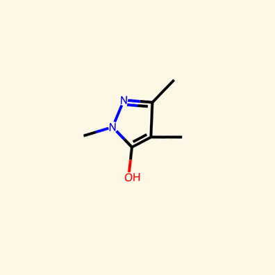 Cc1nn(C)c(O)c1C